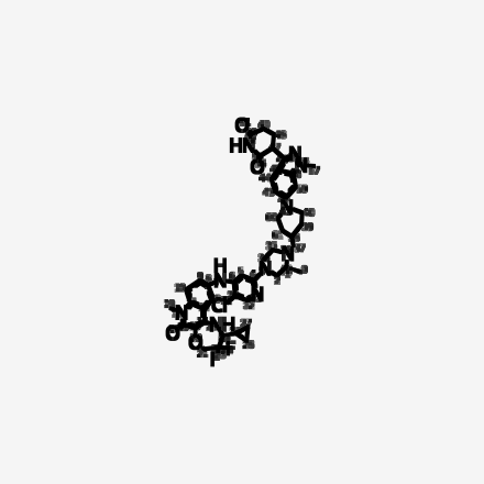 C[C@H]1CN(c2cc(Nc3ccc4c(c3)c3c(c(=O)n4C)OCC(F)(F)[C@H](C4CC4)N3)c(Cl)cn2)CCN1CC1CCN(c2ccc3c(C4CCC(=O)NC4=O)nn(C)c3c2)CC1